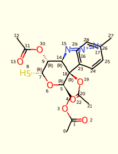 CC(=O)OC[C@H]1O[C@H](S)[C@H](OC(C)=O)[C@@H](N=[N+]=[N-])[C@]1(OC(C)=O)c1ccc(C)cc1